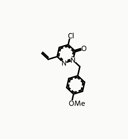 C=Cc1cc(Cl)c(=O)n(Cc2ccc(OC)cc2)n1